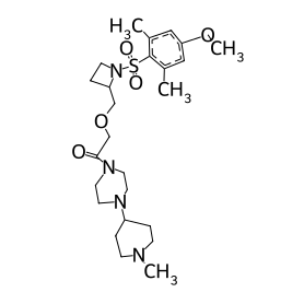 COc1cc(C)c(S(=O)(=O)N2CCC2COCC(=O)N2CCN(C3CCN(C)CC3)CC2)c(C)c1